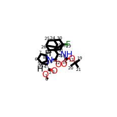 COC(=O)[C@@H]1[C@H]2CC[C@H](C2)N1C(=O)[C@@H](NC(=O)OC(C)(C)C)C12CC3CC(CC(F)(C3)C1)C2